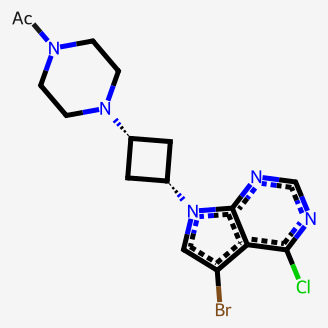 CC(=O)N1CCN([C@H]2C[C@@H](n3cc(Br)c4c(Cl)ncnc43)C2)CC1